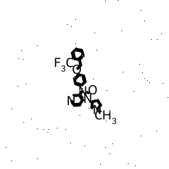 CN1CCC(n2c(=O)n(-c3ccc(OCc4ccccc4C(F)(F)F)cc3)c3cnccc32)C1